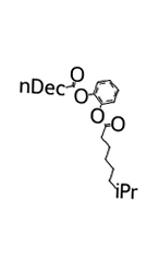 CCCCCCCCCCC(=O)Oc1ccccc1OC(=O)CCCCCC(C)C